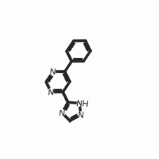 [c]1n[nH]c(-c2cc(-c3ccccc3)ncn2)n1